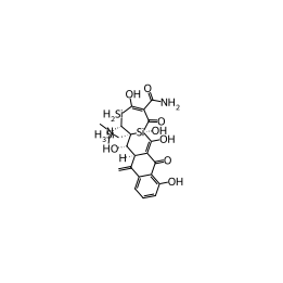 C=C1c2cccc(O)c2C(=O)C2=C(O)[Si@]3(O)C(=O)C(C(N)=O)=C(O)[SiH2][C@@H](N(C)C)[C@]3(C[SiH3])[C@@H](O)[C@H]12